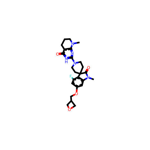 CN1CCCc2c1nc(N1CCC3(CC1)C(=O)N(C)c1cc(OCC4COC4)cc(F)c13)[nH]c2=O